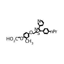 CCCc1ccc(-c2sc(COc3ccc(OCC(=O)O)c(C)c3)nc2-c2cccnc2)cc1